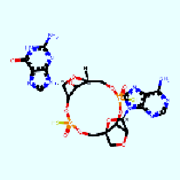 Nc1nc2c(ncn2[C@@H]2O[C@@H]3COP(=O)(S)OC4C5OCC4(COP(=O)(S)OC2C3O)O[C@H]5n2cnc3c(N)ncnc32)c(=O)[nH]1